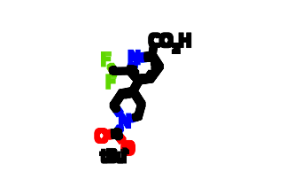 CC(C)(C)OC(=O)N1CC=C(c2ccc(C(=O)O)nc2C(F)F)CC1